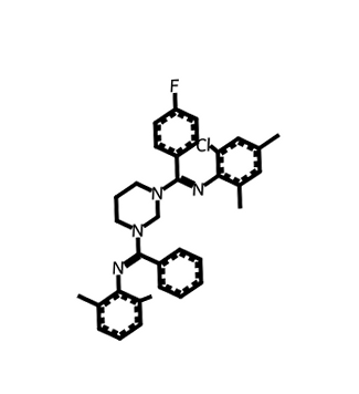 Cc1cc(C)c(/N=C(\c2ccc(F)cc2)N2CCCN(/C(=N/c3c(C)cccc3C)c3ccccc3)C2)c(Cl)c1